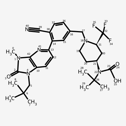 Cn1c(=O)n(CC(C)(C)C)c2ccc(-c3cc(CN4CC[C@H](N(C(=O)O)C(C)(C)C)C[C@@H]4C(F)(F)F)ccc3C#N)nc21